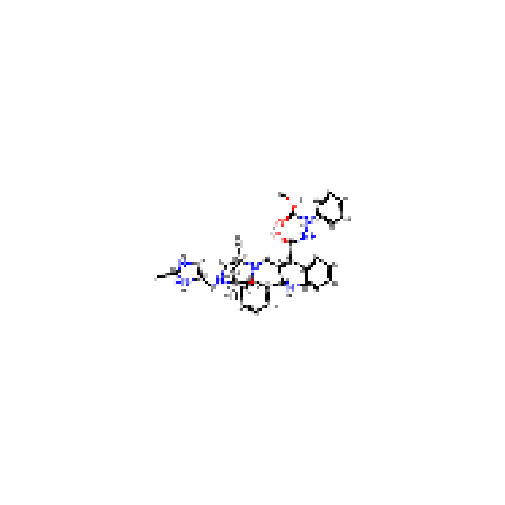 COC(=O)N(NC(=O)c1c(CN2C[C@H]3C[C@@H]2CN3Cc2cnc(C)[nH]2)c(-c2ccccc2)nc2ccccc12)c1ccccc1